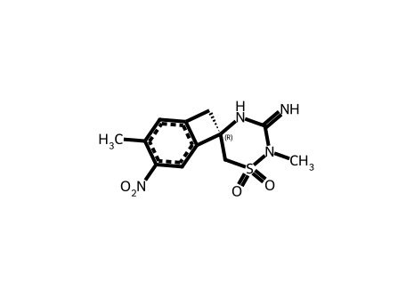 Cc1cc2c(cc1[N+](=O)[O-])[C@]1(C2)CS(=O)(=O)N(C)C(=N)N1